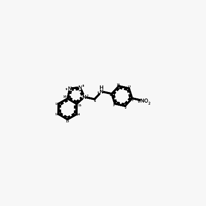 O=[N+]([O-])c1ccc(NCn2nnc3ccccc32)cc1